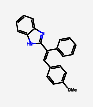 COc1ccc(C=C(c2ccccc2)c2nc3ccccc3[nH]2)cc1